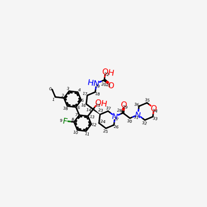 CCc1cccc(-c2c(F)cccc2C(O)(CCCNC(=O)O)[C@@H]2CCCN(C(=O)CN3CCOCC3)C2)c1